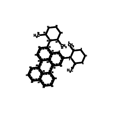 CC1CCCC(C)N1c1cc2c(N3C(C)CCCC3C)ccc3c4cccc5cccc(c(c1)c23)c54